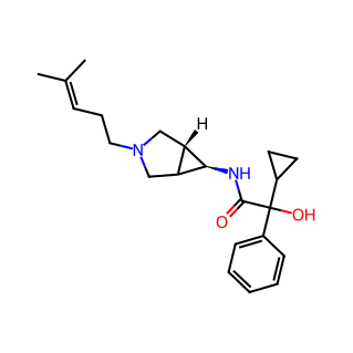 CC(C)=CCCN1CC2[C@H](C1)[C@H]2NC(=O)C(O)(c1ccccc1)C1CC1